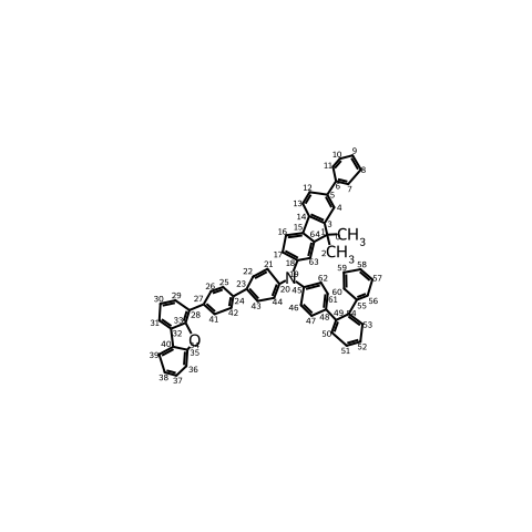 CC1(C)c2cc(-c3ccccc3)ccc2-c2ccc(N(c3ccc(-c4ccc(-c5cccc6c5oc5ccccc56)cc4)cc3)c3ccc(-c4ccccc4-c4ccccc4)cc3)cc21